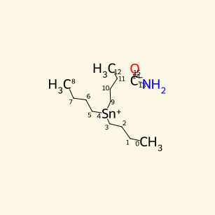 CCC[CH2][Sn+]([CH2]CCC)[CH2]CCC.N[C-]=O